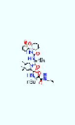 C=CCNC(=O)C(=O)[C@H](CCCC)NC(=O)C1CC(C)(C)C(C)CN1C(=O)[C@@H](NC(=O)NC1([C@@H]2CCCS2(=O)=O)CCCCC1)C(C)(C)C